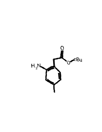 CCCCOC(=O)Cc1ccc(C)cc1N